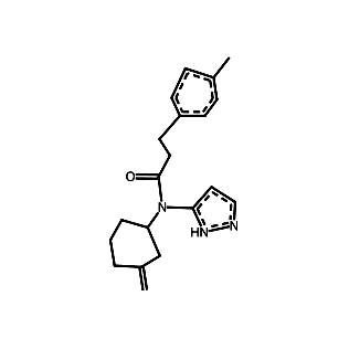 C=C1CCCC(N(C(=O)CCc2ccc(C)cc2)c2ccn[nH]2)C1